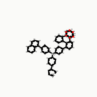 c1ccc(-c2ccc(N(c3ccc(-c4cccc(-c5ccccc5)c4-c4ccccc4-c4ccccc4)cc3)c3ccc(-c4cccc5ccccc45)cc3)cc2)cc1